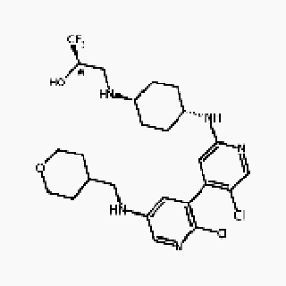 O[C@H](CN[C@H]1CC[C@H](Nc2cc(-c3cc(NCC4CCOCC4)cnc3Cl)c(Cl)cn2)CC1)C(F)(F)F